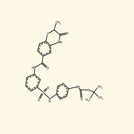 CC1Sc2ccc(C(=O)Nc3cccc(S(=O)(=O)Nc4ccc(NC(=O)OC(C)(C)C)cc4)c3)cc2NC1=O